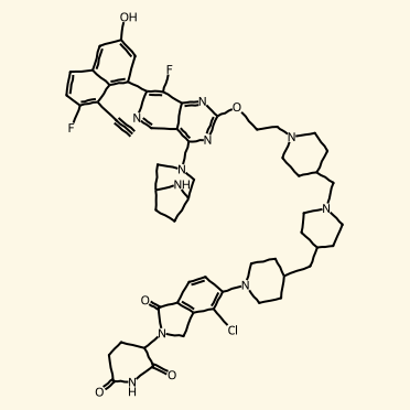 C#Cc1c(F)ccc2cc(O)cc(-c3ncc4c(N5CC6CCC(C5)N6)nc(OCCN5CCC(CN6CCC(CC7CCN(c8ccc9c(c8Cl)CN(C8CCC(=O)NC8=O)C9=O)CC7)CC6)CC5)nc4c3F)c12